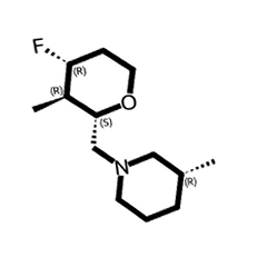 C[C@@H]1CCCN(C[C@H]2OCC[C@@H](F)[C@@H]2C)C1